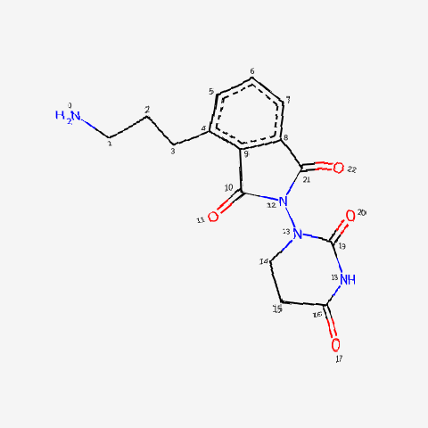 NCCCc1cccc2c1C(=O)N(N1CCC(=O)NC1=O)C2=O